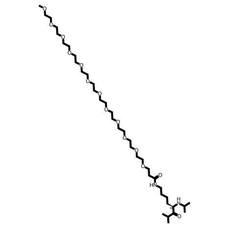 COCCOCCOCCOCCOCCOCCOCCOCCOCCOCCOCCOCCC(=O)NCCCC[C@@H](NC(C)C)C(=O)C(C)C